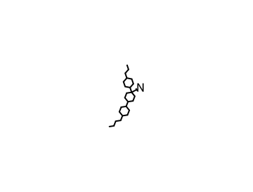 CCCCC1CCC(C2CCC(C#N)(C3CCC(CCC)CC3)CC2)CC1